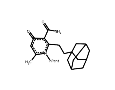 CCCCCn1c(C)cc(=O)c(C(N)=O)c1CCC12CC3CC(CC(C3)C1)C2